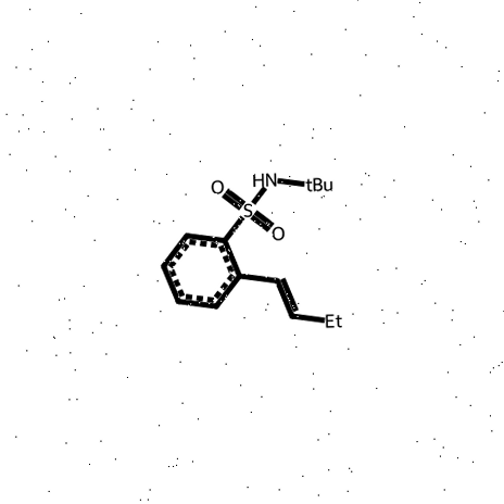 CCC=Cc1ccccc1S(=O)(=O)NC(C)(C)C